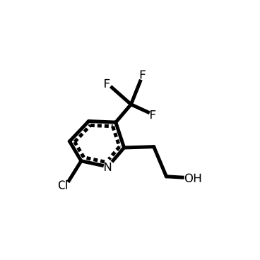 OCCc1nc(Cl)ccc1C(F)(F)F